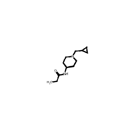 CCC(=O)NC1CCN(CC2CC2)CC1